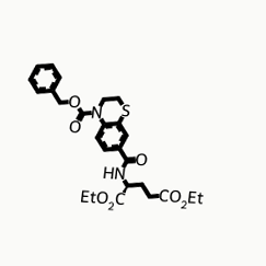 CCOC(=O)CC[C@H](NC(=O)c1ccc2c(c1)SCCN2C(=O)OCc1ccccc1)C(=O)OCC